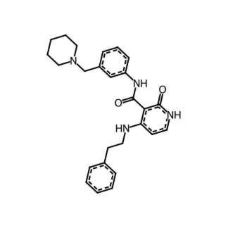 O=C(Nc1cccc(CN2CCCCC2)c1)c1c(NCCc2ccccc2)cc[nH]c1=O